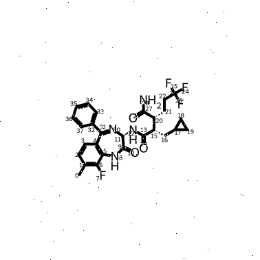 Cc1ccc2c(c1F)NC(=O)[C@@H](NC(=O)[C@@H](CC1CC1)[C@@H](CCC(F)(F)F)C(N)=O)N=C2c1ccccc1